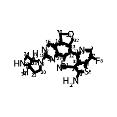 N#Cc1c(N)sc2c(F)cnc(-c3c4c(c5cnc(N6CC[C@@H]7NC[C@@H]76)nc5c3F)COC4)c12